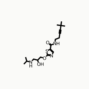 CC(C)NCC(O)COc1ncc(C(=O)NCCC#CC(C)(C)C)s1